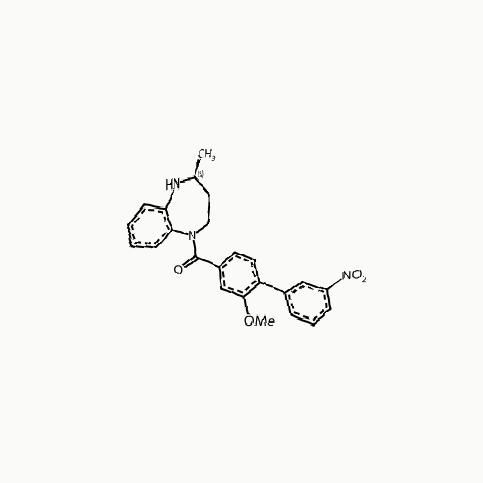 COc1cc(C(=O)N2CC[C@H](C)Nc3ccccc32)ccc1-c1cccc([N+](=O)[O-])c1